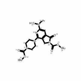 CC(C)N(C)c1cc2c(c(N3CCN(C(=O)OC(C)(C)C)CC3)n1)CN(C(=O)OC(C)(C)C)C2=O